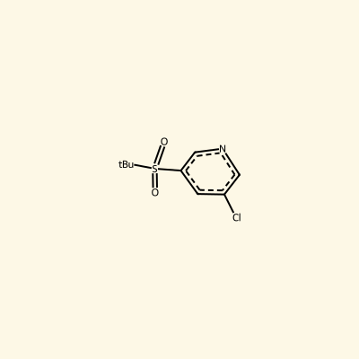 CC(C)(C)S(=O)(=O)c1cncc(Cl)c1